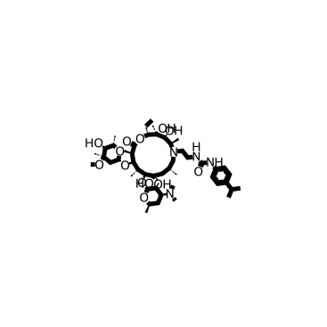 CC[C@H]1OC(=O)[C@H](C)[C@H](O[C@@H]2C[C@@](C)(OC)[C@@H](O)[C@H](C)O2)[C@@H](C)[C@H](O[C@@H]2O[C@H](C)C[C@H](N(C)C)[C@H]2O)[C@](C)(O)C[C@@H](C)CN(CCNC(=O)Nc2ccc(C(C)C)cc2)[C@H](C)[C@@H](O)[C@]1(C)O